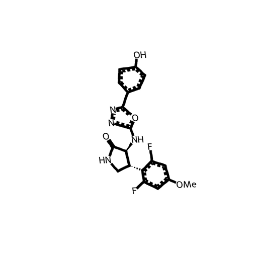 COc1cc(F)c([C@@H]2CNC(=O)[C@H]2Nc2nnc(-c3ccc(O)cc3)o2)c(F)c1